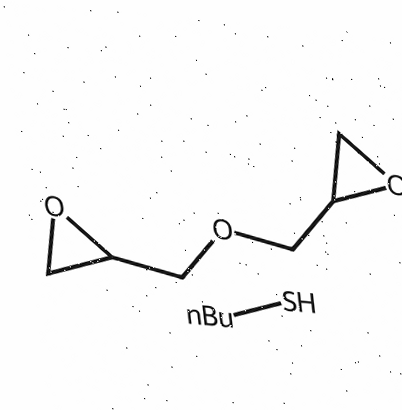 C(OCC1CO1)C1CO1.CCCCS